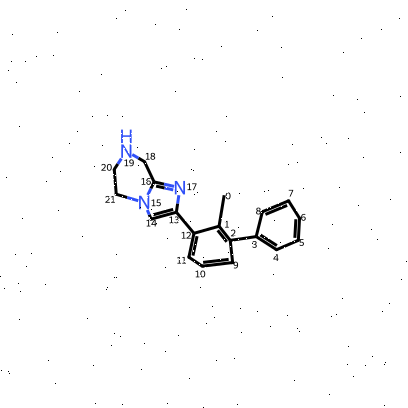 Cc1c(-c2ccccc2)cccc1-c1cn2c(n1)CNCC2